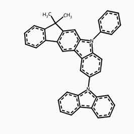 CC1(C)c2ccccc2-c2cc3c4cc(-n5c6ccccc6c6ccccc65)ccc4n(-c4ccccc4)c3cc21